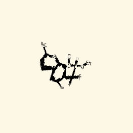 CCOP(=O)(OCC)C(F)(F)c1cc2nc(C(C)=O)ccc2cc1Br